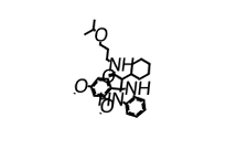 COc1ccc(C2(C(C(=O)NCCCOC(C)C)C3CCCCC3)Nc3ccccc3N2)c(OC)c1